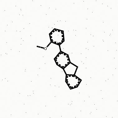 COc1ccccc1-c1[c]c2c(cc1)-c1ccccc1C2